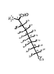 CC([C]=O)C(F)(F)C(F)(F)C(F)(F)C(F)(F)C(F)(F)C(F)(F)C(F)(F)C(F)(F)F